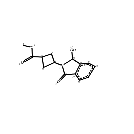 COC(=O)C1CC(N2C(=O)c3ccccc3C2O)C1